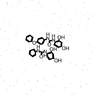 O=C(Nc1ccc(Oc2ccccc2)cc1)Nc1ccc(O)cc1O.O=C(Nc1ccccc1)Nc1ccc(O)cc1O